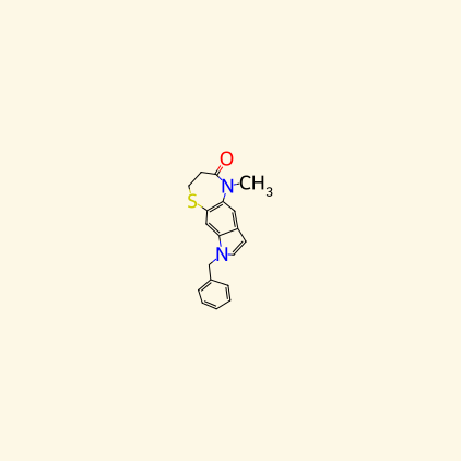 CN1C(=O)CCSc2cc3c(ccn3Cc3ccccc3)cc21